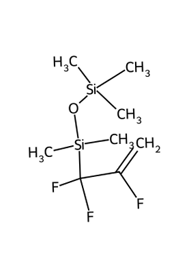 C=C(F)C(F)(F)[Si](C)(C)O[Si](C)(C)C